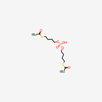 CC(C)(C)C(=O)SCCCCOP(=O)(O)OCCCCSC(=O)C(C)(C)C